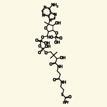 CCCC(=O)SCCNC(=O)CCNC(=O)C(O)C(C)(C)COP(=O)(O)OP(=O)(O)OCC1OC(C)(n2cnc3c(N)ncnc32)C(O)C1OP(=O)(O)O